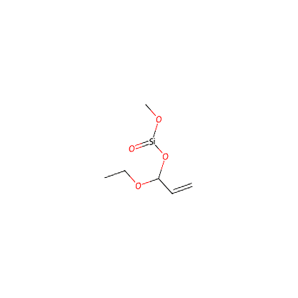 C=CC(OCC)O[Si](=O)OC